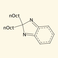 CCCCCCCCC1(CCCCCCCC)N=c2ccccc2=N1